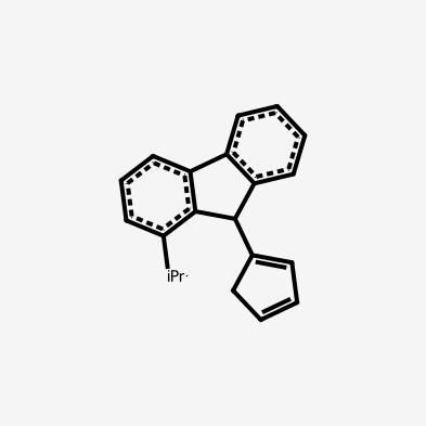 C[C](C)c1cccc2c1C(C1=CC=CC1)c1ccccc1-2